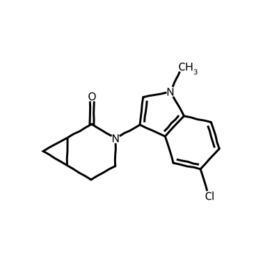 Cn1cc(N2CCC3CC3C2=O)c2cc(Cl)ccc21